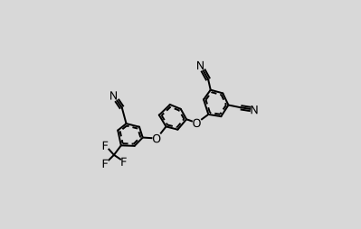 N#Cc1cc(C#N)cc(Oc2cccc(Oc3cc(C#N)cc(C(F)(F)F)c3)c2)c1